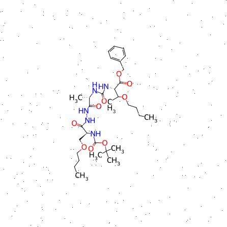 CCCCOC[C@H](NC(=O)OC(C)(C)C)C(=O)NNC(=O)[C@H](C)NC(=O)N[C@H](C(=O)OCc1ccccc1)C(C)OCCCC